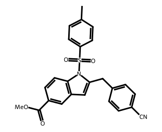 COC(=O)c1ccc2c(c1)cc(Cc1ccc(C#N)cc1)n2S(=O)(=O)c1ccc(C)cc1